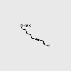 CCC=CC#CCCCCCCCCCCC